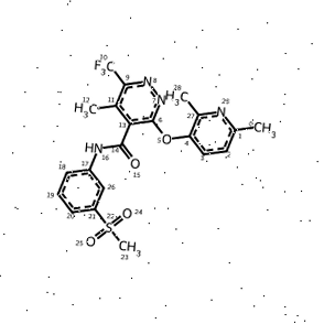 Cc1ccc(Oc2nnc(C(F)(F)F)c(C)c2C(=O)Nc2cccc(S(C)(=O)=O)c2)c(C)n1